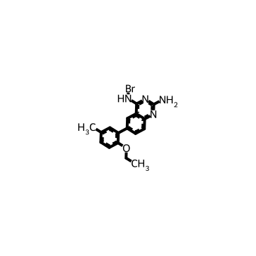 CCOc1ccc(C)cc1-c1ccc2nc(N)nc(NBr)c2c1